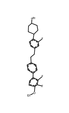 CCCC1CCC(c2ccc(CCc3ccc(-c4ccc(OCC)c(F)c4F)cc3)cc2F)CC1